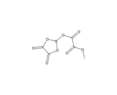 CO[Si](=O)C(=O)OB1OC(=O)C(=O)O1